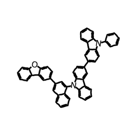 c1ccc(-n2c3ccccc3c3cc(-c4ccc5c(c4)c4ccccc4n5-c4cc(-c5ccc6oc7ccccc7c6c5)cc5ccccc45)ccc32)cc1